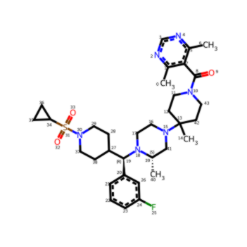 Cc1ncnc(C)c1C(=O)N1CCC(C)(N2CCN([C@@H](c3cccc(F)c3)C3CCN(S(=O)(=O)C4CC4)CC3)[C@@H](C)C2)CC1